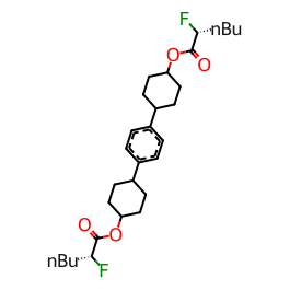 CCCC[C@@H](F)C(=O)OC1CCC(c2ccc(C3CCC(OC(=O)[C@H](F)CCCC)CC3)cc2)CC1